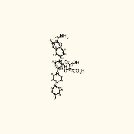 Cc1ccc(N2CCN(c3ncc(-c4cccc(CN(C)C(=O)CN)c4)cn3)CC2)nc1.O=C(O)C(O)C(O)C(=O)O